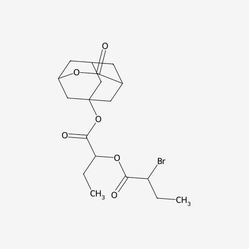 CCC(Br)C(=O)OC(CC)C(=O)OC12CC3CC(C1)OC(=O)C(C3)C2